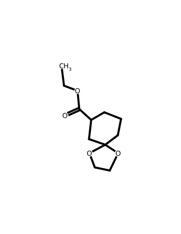 CCOC(=O)C1CCCC2(C1)OCCO2